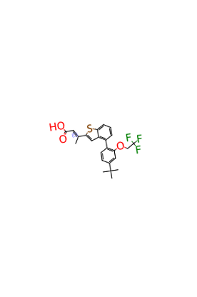 C/C(=C\C(=O)O)c1cc2c(-c3ccc(C(C)(C)C)cc3OCC(F)(F)F)cccc2s1